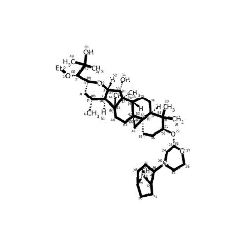 CCO[C@@H]([C@H]1C[C@@H](C)[C@H]2[C@H](O1)[C@H](O)[C@@]1(C)[C@@H]3CC[C@H]4C(C)(C)[C@@H](O[C@H]5CN(C6CCC7CCC6N7C)CCO5)CC[C@@]45C[C@@]35CC[C@]21C)C(C)(C)O